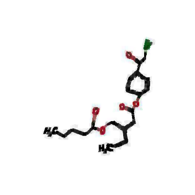 CCCCC(=O)OCC(CC)CC(=O)Oc1ccc(C(=O)CBr)cc1